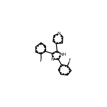 Fc1ccccc1-c1nc(-c2ccccc2F)c(-c2ccncc2)[nH]1